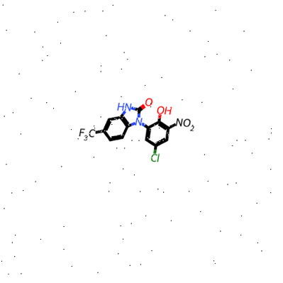 O=c1[nH]c2cc(C(F)(F)F)ccc2n1-c1cc(Cl)cc([N+](=O)[O-])c1O